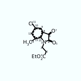 CCOC(=O)CCN1C(=O)C(=O)c2cc(Cl)cc(C)c21